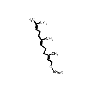 CCCCCOC/C=C(\C)CC/C=C(\C)CCC=C(C)C